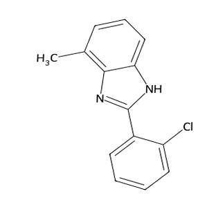 Cc1cccc2[nH]c(-c3ccccc3Cl)nc12